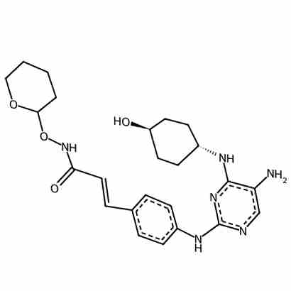 Nc1cnc(Nc2ccc(C=CC(=O)NOC3CCCCO3)cc2)nc1N[C@H]1CC[C@H](O)CC1